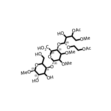 COCC(OC(C)=O)C(O)[C@H](OCCOC(C)=O)O[C@H]1C(OC)C(OC)[C@H](O[C@@H]2C(CO)O[C@H](OC)[C@@H](O)C2O)O[C@H]1C(=O)O